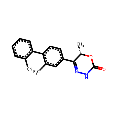 C[C@@H]1OC(=O)NN=C1c1ccc(-c2ccccc2C#N)c(C(F)(F)F)c1